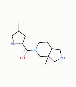 CC1CNC([C@@H](O)N2CCC3CNCC3(C)C2)C1